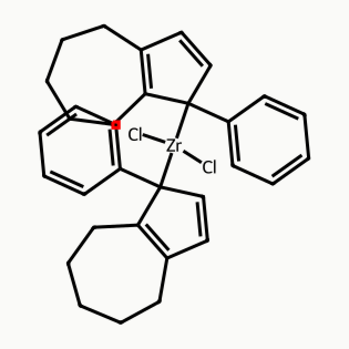 [Cl][Zr]([Cl])([C]1(c2ccccc2)C=CC2=C1CCCCC2)[C]1(c2ccccc2)C=CC2=C1CCCCC2